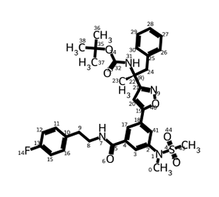 CN(c1cc(C(=O)NCCc2ccc(F)cc2)cc(-c2cc([C@@](C)(Cc3ccccc3)NC(=O)OC(C)(C)C)no2)c1)S(C)(=O)=O